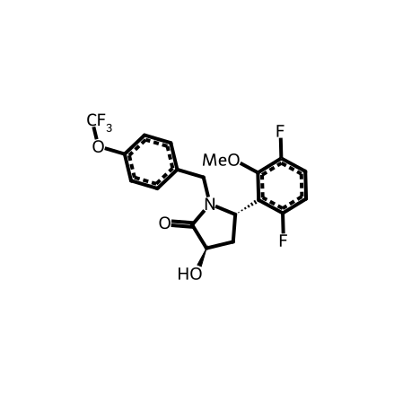 COc1c(F)ccc(F)c1[C@@H]1C[C@@H](O)C(=O)N1Cc1ccc(OC(F)(F)F)cc1